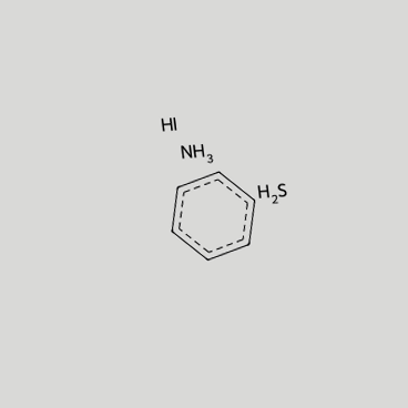 I.N.S.c1ccccc1